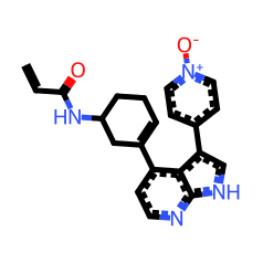 C=CC(=O)NC1CCC=C(c2ccnc3[nH]cc(-c4cc[n+]([O-])cc4)c23)C1